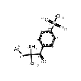 CC(=O)SC(C)(C)C(=O)c1ccc(S(C)(=O)=O)cc1